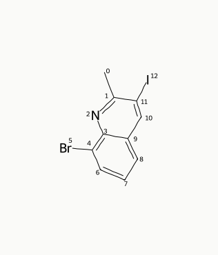 Cc1nc2c(Br)cccc2cc1I